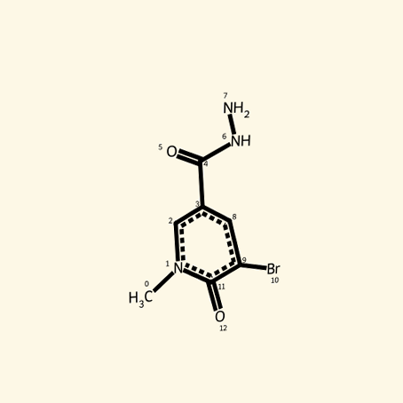 Cn1cc(C(=O)NN)cc(Br)c1=O